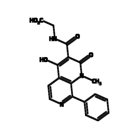 Cn1c(=O)c(C(=O)NCC(=O)O)c(O)c2ccnc(-c3ccccc3)c21